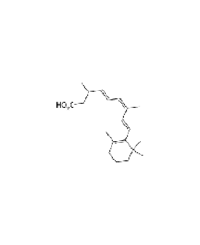 CC1=C(/C=C/C(C)=C\C=C\C(C)CC(=O)O)C(C)(C)CCC1